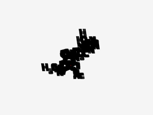 CC(=O)N1CCC(c2nn(CC(=O)Nc3c(C)nc4ncnn4c3O)c3cccc(-c4cc5c(cnn5C)cc4F)c23)CC1